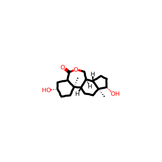 C[C@]12CC[C@H]3[C@@H](COC(=O)C4C[C@@H](O)CC[C@@]43C)[C@@H]1CC[C@@H]2O